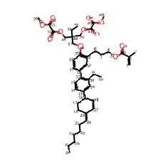 C=C(C)C(=O)OCCCc1cc(-c2ccc(C3CCC(CCCCCCC)CC3)cc2CC)ccc1OCC(CC)(COC(=O)C(=O)OC)COC(=O)C(=O)OC